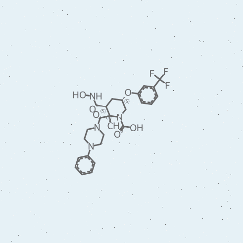 C[C@@]1(C(=O)N2CCN(c3ccccc3)CC2)[C@@H](C(=O)NO)C[C@H](Oc2cccc(C(F)(F)F)c2)CN1C(=O)O